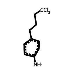 [NH]c1ccc(CCCC(Cl)(Cl)Cl)cc1